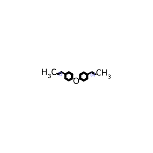 C/C=C/c1ccc(Oc2ccc(/C=C/C)cc2)cc1